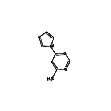 Cc1cc([SH]2C=CC=C2)ncn1